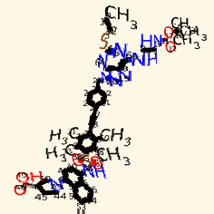 CCCSc1nc(NCCNC(=O)OC(C)(C)C)c2nnn(Cc3ccc(C#Cc4c(C)c(C)c(S(=O)(=O)Nc5ccc(N6CC[C@H](C(=O)O)C6)c6ccccc56)c(C)c4C)cc3)c2n1